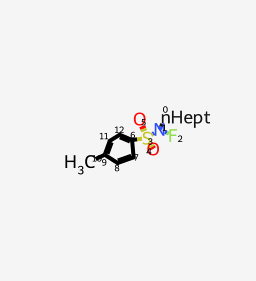 CCCCCCCN(F)S(=O)(=O)c1ccc(C)cc1